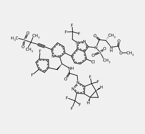 COC(=O)N[C@@H](C)C(=O)N(c1nn(CC(F)(F)F)c2c(-c3ccc(C#CC(C)(C)S(C)(=O)=O)nc3[C@H](Cc3cc(F)cc(F)c3)NC(=O)Cn3nc(C(F)(F)F)c4c3C(F)(F)[C@@H]3C[C@H]43)ccc(Cl)c12)S(C)(=O)=O